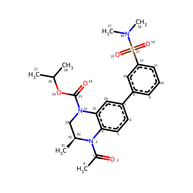 CC(=O)N1c2ccc(-c3cccc(S(=O)(=O)N(C)C)c3)cc2N(C(=O)OC(C)C)C[C@@H]1C